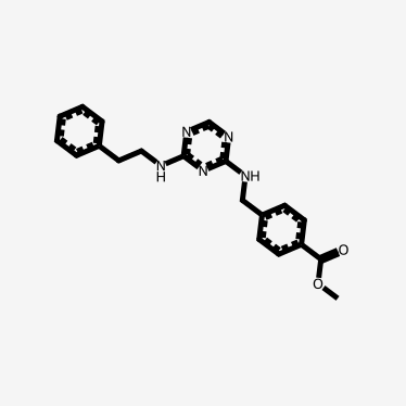 COC(=O)c1ccc(CNc2ncnc(NCCc3ccccc3)n2)cc1